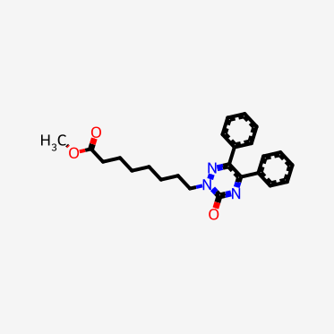 COC(=O)CCCCCCCn1nc(-c2ccccc2)c(-c2ccccc2)nc1=O